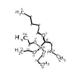 CCCCCOC(CNC)[Si](OCC)(OCC)OCC